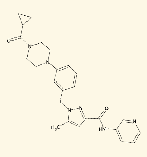 Cc1cc(C(=O)Nc2cccnc2)nn1Cc1cccc(N2CCN(C(=O)C3CC3)CC2)c1